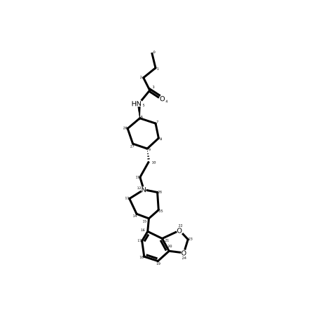 CCCC(=O)N[C@H]1CC[C@H](CCN2CCC(c3cccc4c3OCO4)CC2)CC1